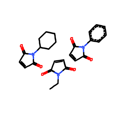 CCN1C(=O)C=CC1=O.O=C1C=CC(=O)N1C1CCCCC1.O=C1C=CC(=O)N1c1ccccc1